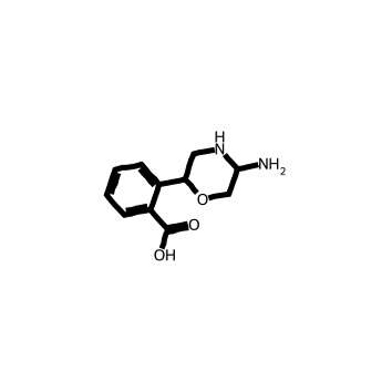 NC1COC(c2ccccc2C(=O)O)CN1